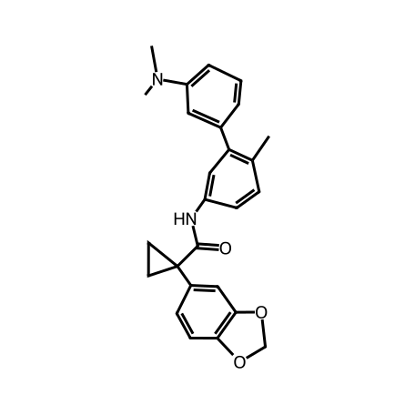 Cc1ccc(NC(=O)C2(c3ccc4c(c3)OCO4)CC2)cc1-c1cccc(N(C)C)c1